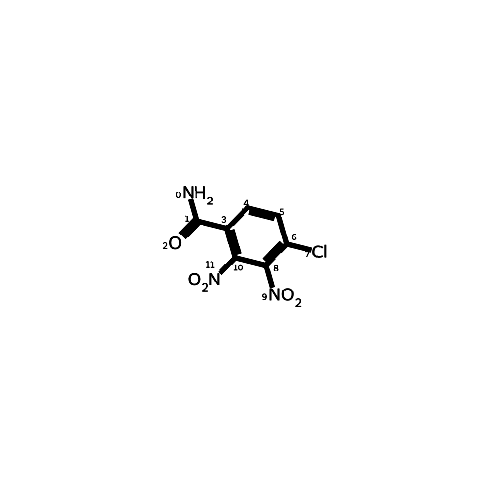 NC(=O)c1ccc(Cl)c([N+](=O)[O-])c1[N+](=O)[O-]